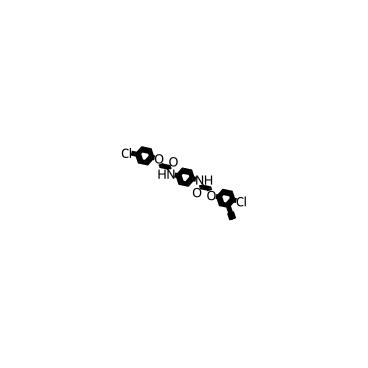 C#Cc1cc(OCC(=O)Nc2ccc(NC(=O)COc3ccc(Cl)cc3)cc2)ccc1Cl